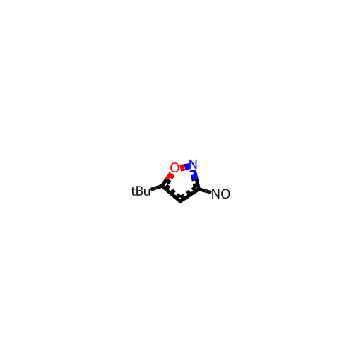 CC(C)(C)c1cc(N=O)no1